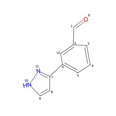 O=Cc1cccc(-c2cc[nH]n2)c1